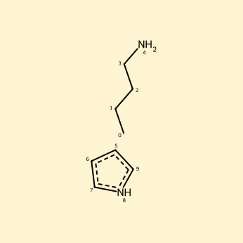 CCCCN.c1cc[nH]c1